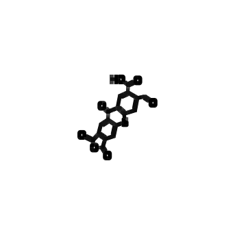 O=Cc1cc2sc3cc4c(cc3c(=O)c2cc1C(=O)O)C(=O)OC4=O